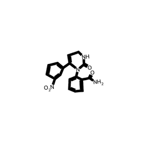 NC(=O)c1ccccc1N1C(=O)NCC=C1c1cccc([N+](=O)[O-])c1